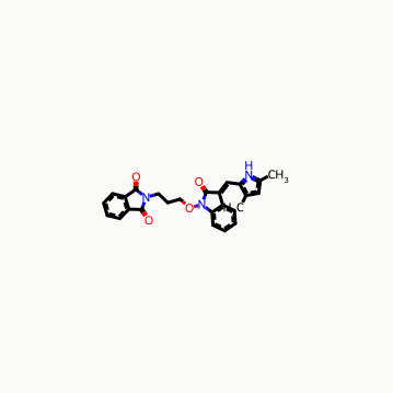 Cc1cc(C)c(C=C2C(=O)N(OCCCN3C(=O)c4ccccc4C3=O)c3ccccc32)[nH]1